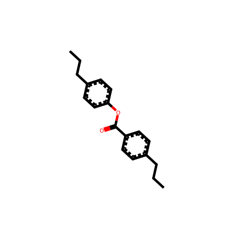 CCCc1ccc(OC(=O)c2ccc(CCC)cc2)cc1